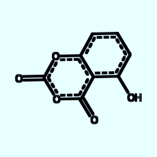 O=c1oc(=O)c2c(O)cccc2o1